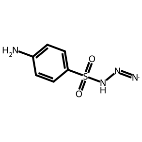 [N]=NNS(=O)(=O)c1ccc(N)cc1